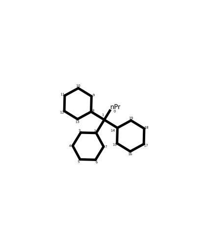 [CH2]CCC(C1CCCCC1)(C1CCCCC1)C1CCCCC1